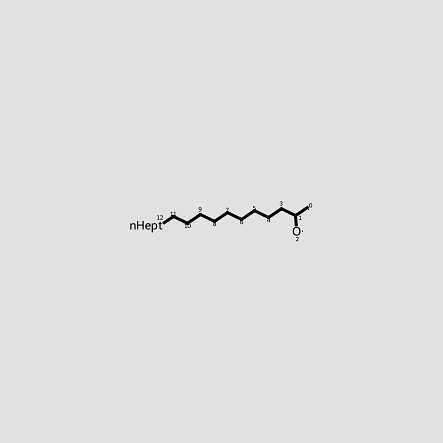 [CH2]C([O])CCCCCCCCCCCCCCCC